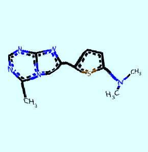 Cc1ncnc2nc(-c3ccc(N(C)C)s3)cn12